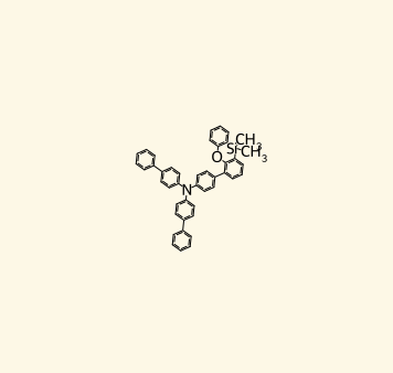 C[Si]1(C)c2ccccc2Oc2c(-c3ccc(N(c4ccc(-c5ccccc5)cc4)c4ccc(-c5ccccc5)cc4)cc3)cccc21